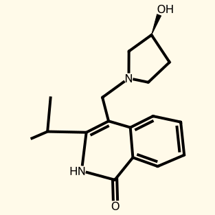 CC(C)c1[nH]c(=O)c2ccccc2c1CN1CC[C@H](O)C1